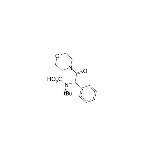 CC(C)(C)N(C(=O)O)[C@H](C(=O)N1CCOCC1)c1ccccc1